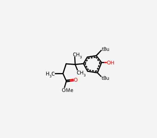 COC(=O)C(C)CC(C)(C)c1cc(C(C)(C)C)c(O)c(C(C)(C)C)c1